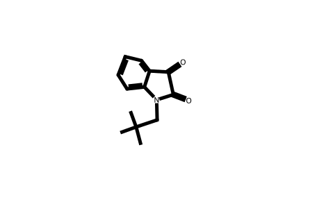 CC(C)(C)CN1C(=O)C(=O)c2ccccc21